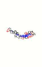 CC(C)[C@H](O)C(=O)N[C@@H](C)C(=O)N1CCC[C@@H](C(=O)N[C@H](C)c2ccc3ccc(/C=C/C4(C(=O)O)CCCOC4)cc3n2)N1